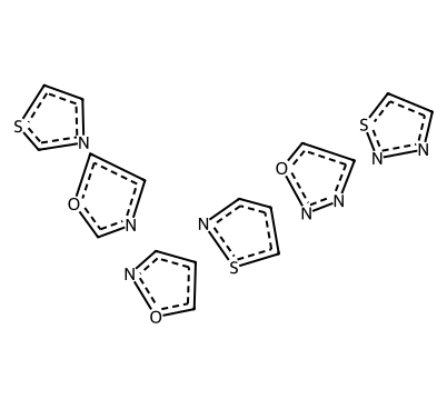 c1cnoc1.c1cnsc1.c1cocn1.c1conn1.c1cscn1.c1csnn1